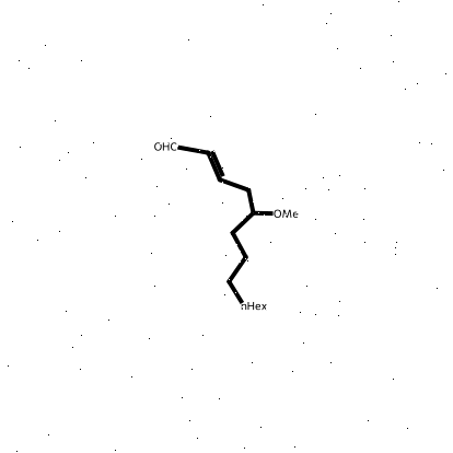 CCCCCCCCCC(C/C=C/C=O)OC